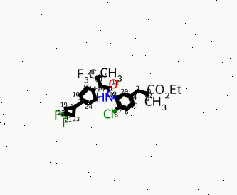 CCOC(=O)[C@@H](C)Cc1ccc(Cl)c(NC(=O)[C@H](C2C=CC(C3CC(F)(F)C3)=CC2)[C@@H](C)C(F)(F)F)c1